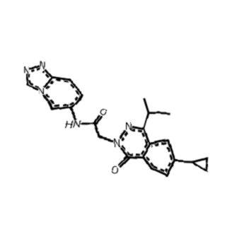 CC(C)c1nn(CC(=O)Nc2ccc3nncn3c2)c(=O)c2ccc(C3CC3)cc12